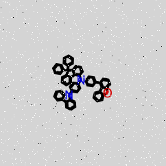 c1ccc(C2(c3ccccc3)c3ccccc3-c3c(N(c4ccc(-c5cccc6oc7ccccc7c56)cc4)c4ccc(-n5c6ccccc6c6ccccc65)cc4)cccc32)cc1